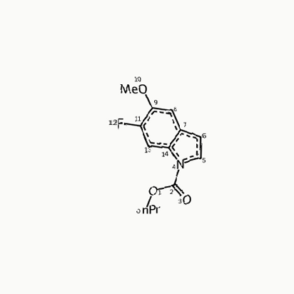 CCCOC(=O)n1ccc2cc(OC)c(F)cc21